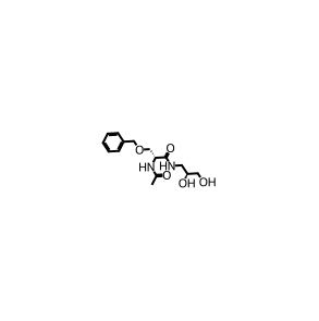 CC(=O)N[C@H](COCc1ccccc1)C(=O)NC[C@H](O)CO